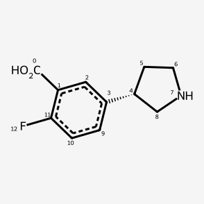 O=C(O)c1cc([C@@H]2CCNC2)ccc1F